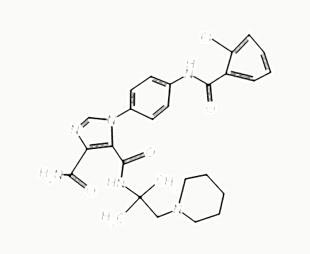 CC(C)(CN1CCCCC1)NC(=O)c1c(C(N)=O)ncn1-c1ccc(NC(=O)c2ccccc2Cl)cc1